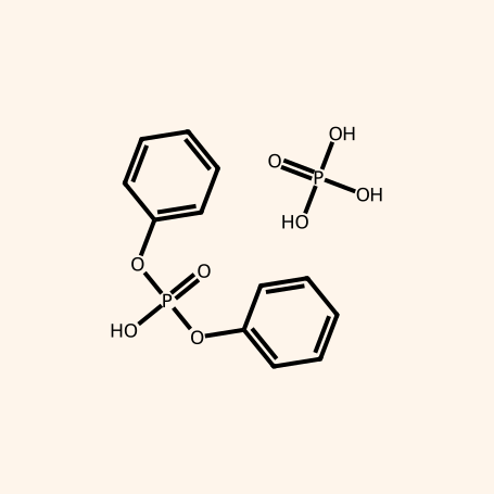 O=P(O)(O)O.O=P(O)(Oc1ccccc1)Oc1ccccc1